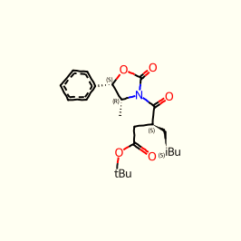 CC[C@H](C)C[C@@H](CC(=O)OC(C)(C)C)C(=O)N1C(=O)O[C@@H](c2ccccc2)[C@H]1C